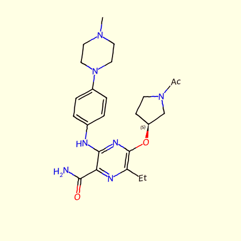 CCc1nc(C(N)=O)c(Nc2ccc(N3CCN(C)CC3)cc2)nc1O[C@H]1CCN(C(C)=O)C1